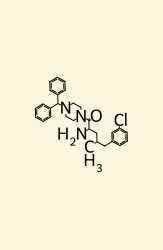 CC(Cc1cccc(Cl)c1)CC(N)C(=O)N1CCN(C(c2ccccc2)c2ccccc2)CC1